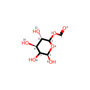 O=COC1O[C@@H](O)C(O)[C@@H](O)[C@@H]1O